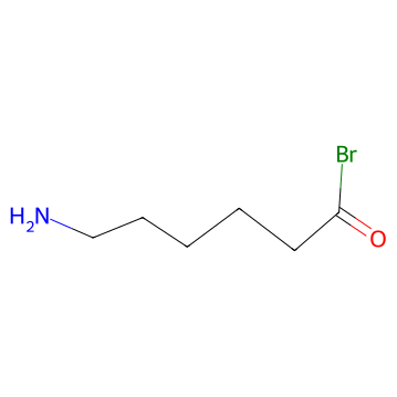 NCCCCCC(=O)Br